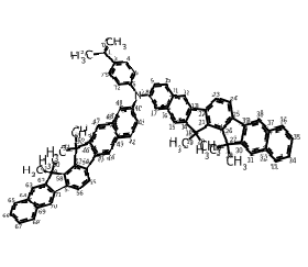 CC(C)c1ccc(N(c2ccc3cc4c(cc3c2)C(C)(C)c2c-4ccc3c2C(C)(C)c2cc4ccccc4cc2-3)c2ccc3cc4c(cc3c2)C(C)(C)c2c-4ccc3c2C(C)(C)c2cc4ccccc4cc2-3)cc1